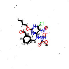 CCCCOc1nc(Cl)c([N+](=O)[O-])c(N(Cc2cccc(C=O)c2)NC(=O)OC)n1